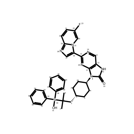 CC(C)(C[C@H]1CC[C@H](n2c(=O)[nH]c3cnc(-c4cnc5ccc(F)cn45)nc32)CC1)[Si](O)(c1ccccc1)c1ccccc1